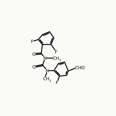 CN(C(=O)c1c(F)cccc1F)C(=O)N(C)c1ccc(C=O)cc1F